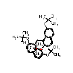 CC(C)(C)Oc1ccc2ccc(OC(C)(C)C)c(Cc3c(OC(C)(C)C)ccc4ccc(OC(C)(C)C)cc34)c2c1